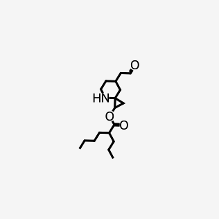 CCCCC(CCC)C(=O)OC1CC12CC(CC=O)CCN2